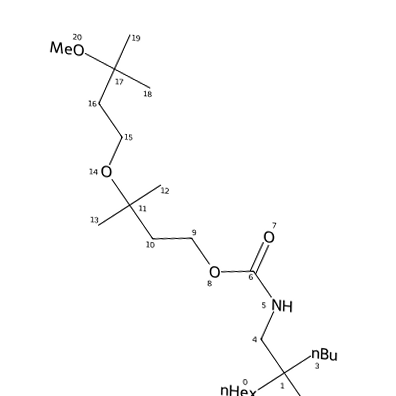 CCCCCCC(C)(CCCC)CNC(=O)OCCC(C)(C)OCCC(C)(C)OC